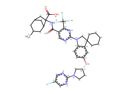 CC1CC2CC(C1)C(NC(=O)c1cnc(N3CC4(CCCCC4)c4cc(O[C@@H]5CCN(c6ncc(F)cn6)C5)ccc43)nc1C(F)(F)F)(C(=O)O)C2